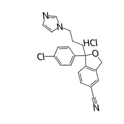 Cl.N#Cc1ccc2c(c1)COC2(CCCn1ccnc1)c1ccc(Cl)cc1